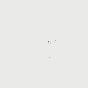 Cc1cc([C@H](C)N2CCc3c(OCC4CC4)cc(CBr)cc3C2=O)ccc1F